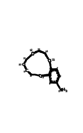 Nc1ccc2c(c1)OCCOCOCCO2